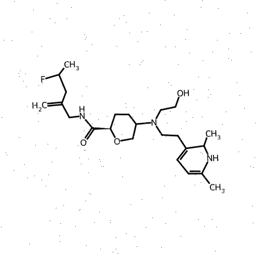 C=C(CNC(=O)[C@H]1CCC(N(CCO)CCC2=CC=C(C)NC2C)CO1)CC(C)F